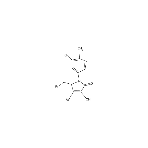 CC(=O)C1=C(O)C(=O)N(c2ccc(C)c(Cl)c2)C1CC(C)C